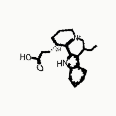 CCC1C[N+]2=C(c3[nH]c4ccccc4c31)[C@H](CCC(=O)O)CCC2